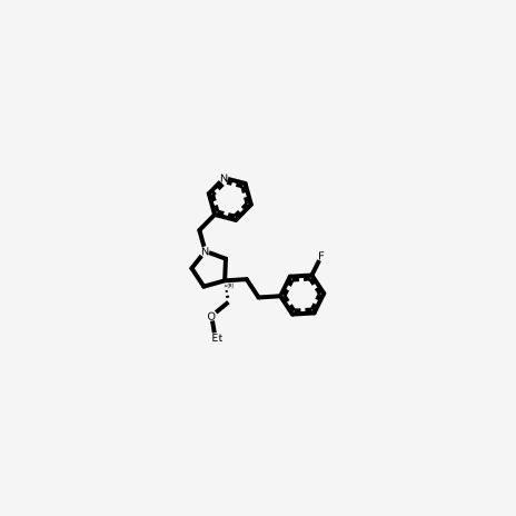 CCOC[C@]1(CCc2cccc(F)c2)CCN(Cc2cccnc2)C1